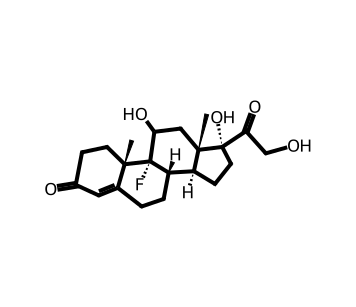 C[C@]12CCC(=O)C=C1CC[C@H]1[C@@H]3CC[C@](O)(C(=O)CO)[C@@]3(C)CC(O)[C@@]12F